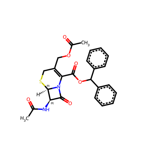 CC(=O)N[C@@H]1C(=O)N2C(C(=O)OC(c3ccccc3)c3ccccc3)=C(COC(C)=O)CS[C@H]12